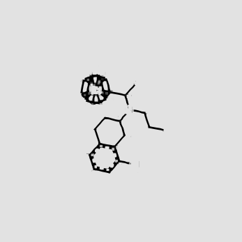 CCCN(C1CCc2cccc(O)c2C1)C(C)[C]12[CH]3[CH]4[CH]5[CH]1[Fe]45321678[CH]2[CH]1[CH]6[CH]7[CH]28